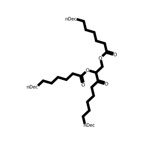 CCCCCCCCCCCCCCCC(=O)OCC(OC(=O)CCCCCCCCCCCCCCC)C(=O)CCCCCCCCCCCCCCC